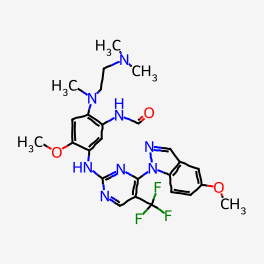 COc1ccc2c(cnn2-c2nc(Nc3cc(NC=O)c(N(C)CCN(C)C)cc3OC)ncc2C(F)(F)F)c1